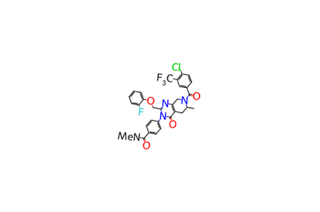 CNC(=O)c1ccc(-n2c(COc3ccccc3F)nc3c(c2=O)CC(C)N(C(=O)c2ccc(Cl)c(C(F)(F)F)c2)C3)cc1